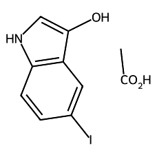 CC(=O)O.Oc1c[nH]c2ccc(I)cc12